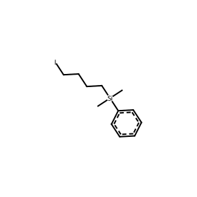 C[Si](C)(CCCCI)c1ccccc1